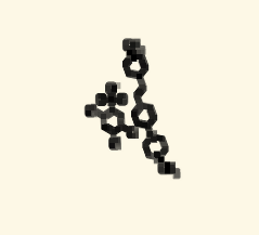 CN1CCN(c2ccc(/C=C/c3cc[n+](C)cc3)cc2)CC1.O=S(=O)([O-])c1cc(Cl)c(Cl)cc1Cl